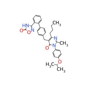 CCCCc1nc(C)n(-c2ccc(OC(C)C)cc2)c(=O)c1Cc1ccc(-c2ccccc2-c2noc(=O)[nH]2)cc1